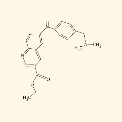 CCOC(=O)c1cnc2ccc(Nc3ccc(CN(C)C)cc3)cc2c1